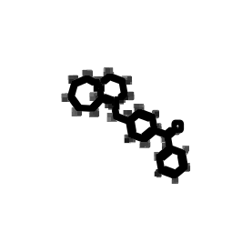 O=C(c1ccccc1)c1ccc(C[N+]2=C3CCCCCN3CCC2)cc1